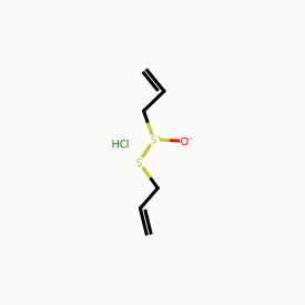 C=CCS[S+]([O-])CC=C.Cl